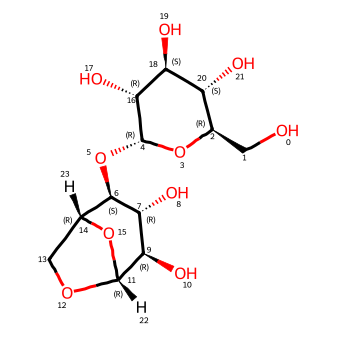 OC[C@H]1O[C@H](O[C@H]2[C@H](O)[C@@H](O)[C@@H]3OC[C@H]2O3)[C@H](O)[C@@H](O)[C@@H]1O